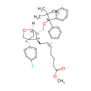 COC(=O)CCC/C=C\C[C@@H]1[C@@H](CO[Si](c2ccccc2)(c2ccccc2)C(C)(C)C)[C@H]2C[C@]1(c1ccc(F)cc1)CO2